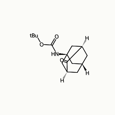 CC(C)(C)OC(=O)N[C@]12C[C@@H]3C[C@H](C1)C(=O)[C@@H](C3)C2